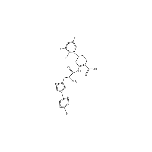 NC(Cc1nc(-c2ccc(F)cn2)no1)C(=O)NC1=C(C(=O)O)CCC(c2cc(F)cc(F)c2F)C1